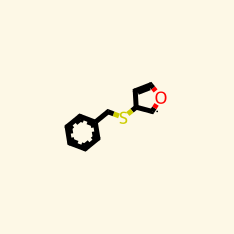 [CH]1OC=CC1SCc1ccccc1